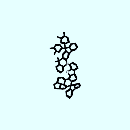 Cc1ccc(C2(c3ccc(C)c(C)c3)c3ccccc3-c3cc4c(cc32)C(C)(C)c2ccccc2N4c2cccc3c2oc2c4c(ccc23)C2(c3ccccc3-c3ccccc32)c2ccc3c5c(ccc-4c25)CC3)cc1C